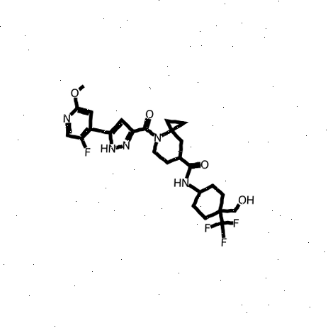 COc1cc(-c2cc(C(=O)N3CCC(C(=O)NC4CCC(CO)(C(F)(F)F)CC4)CC34CC4)n[nH]2)c(F)cn1